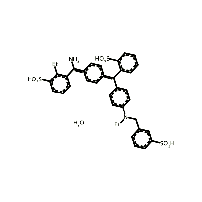 CCc1c(C(N)=c2ccc(=C(c3ccc(N(CC)Cc4cccc(S(=O)(=O)O)c4)cc3)c3ccccc3S(=O)(=O)O)cc2)cccc1S(=O)(=O)O.O